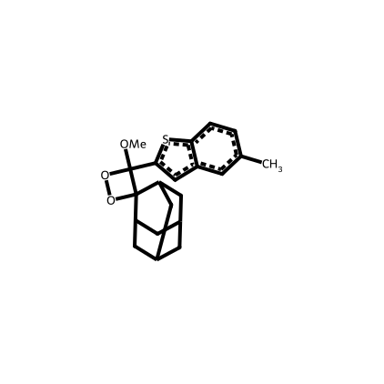 COC1(c2cc3cc(C)ccc3s2)OOC12C1CC3CC(C1)CC2C3